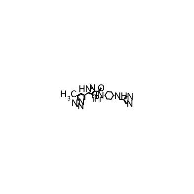 Cc1cc(-c2[nH]nc(C(=O)N[C@H]3CC[C@@H](NCc4cncnc4)CC3)c2C(C)C)cn2ncnc12